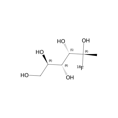 C[C@@](O)([18F])[C@@H](O)[C@H](O)[C@H](O)CO